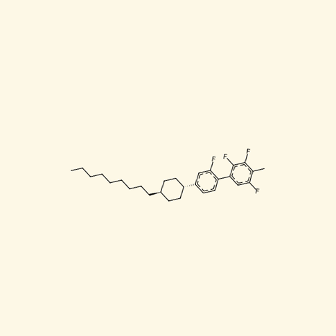 CCCCCCCCC[C@H]1CC[C@H](c2ccc(-c3cc(F)c(C)c(F)c3F)c(F)c2)CC1